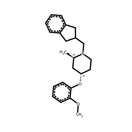 COc1ccccc1O[C@H]1CCN(CC2Cc3ccccc3C2)[C@H](C)C1